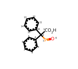 O=PC(C(=O)O)(c1ccccc1)c1ccccc1